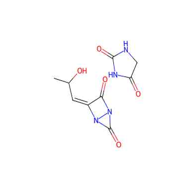 CC(O)C=C1C(=O)N2C(=O)N12.O=C1CNC(=O)N1